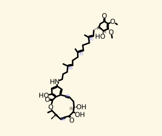 COC1=C(OC)[C@H](O)[C@H](C/C=C(\C)CC/C=C(\C)CC/C=C(\C)CCCNc2cc(O)c3c(c2)/C=C/C[C@H](O)C(O)C(=O)/C=C\[C@@H](C)C(C)OC3=O)CC1=O